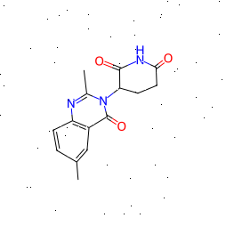 Cc1ccc2nc(C)n(C3CCC(=O)NC3=O)c(=O)c2c1